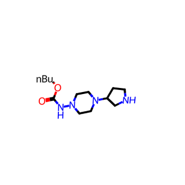 CCCCOC(=O)NN1CCN(C2CCNC2)CC1